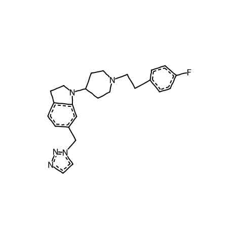 Fc1ccc(CCN2CCC(N3CCc4ccc(Cn5ccnn5)cc43)CC2)cc1